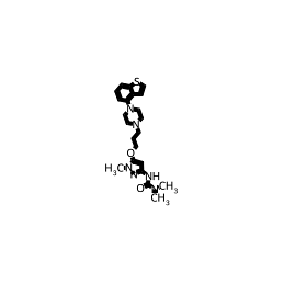 CN(C)C(=O)Nc1cc(OCCCN2CCN(c3cccc4sccc34)CC2)n(C)n1